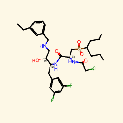 CCCC(CCC)S(=O)(=O)C[C@@H](NC(=O)CCl)C(=O)N[C@@H](Cc1cc(F)cc(F)c1)[C@H](O)CNCc1cccc(CC)c1